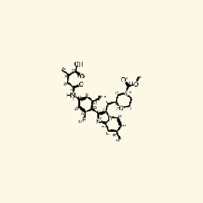 COC(=O)N1CCOC(Cc2c(-c3c(F)cc(NC(=O)CC(C)C(=O)O)cc3F)nc3cc(C)ccn23)C1